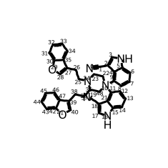 N#Cc1c[nH]c2cccc([N+]3(c4cccc5[nH]cc(C#N)c45)CCN(CCc4coc5ccccc45)C(CCc4coc5ccccc45)C3)c12